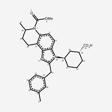 COC(=O)N1c2ccc3c(nc(Cc4cccc(C)c4)n3[C@@H]3CCC[C@@H](C(=O)O)C3)c2CCC1C